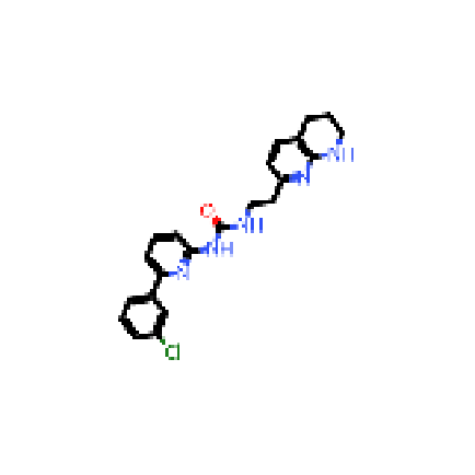 O=C(NCCc1ccc2c(n1)NCCC2)Nc1cccc(-c2cccc(Cl)c2)n1